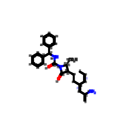 C=C(N)/C=C(\C=C/C)CC[C@H]1C(=O)N(C(=O)NC(c2ccccc2)c2ccccc2)[C@@H]1C(=O)O